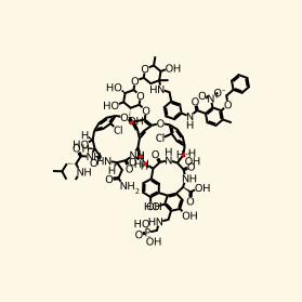 CN[C@H](CC(C)C)C(=O)N[C@H]1C(=O)N[C@@H](CC(N)=O)C(=O)N[C@H]2C(=O)N[C@H]3C(=O)N[C@H](C(=O)N[C@@H](C(=O)O)c4cc(O)c(CNCP(=O)(O)O)c(O)c4-c4cc3ccc4O)[C@H](O)c3ccc(c(Cl)c3)Oc3cc2cc(c3OC2OC(OC3CC(C)(NCc4cccc(NC(=O)c5ccc(C)c(OCc6ccccc6)c5[N+](=O)[O-])c4)C(O)C(C)O3)[C@H](O)C(O)[C@H]2CO)Oc2ccc(cc2Cl)[C@H]1O